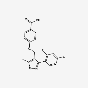 Cc1onc(-c2ccc(Cl)cc2F)c1COc1ccc(C(=O)O)cn1